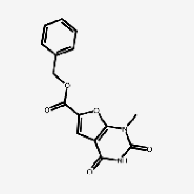 Cn1c(=O)[nH]c(=O)c2cc(C(=O)OCc3ccccc3)oc21